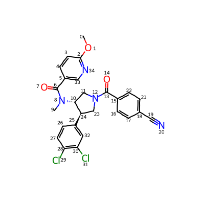 COc1ccc(C(=O)N(C)[C@@H]2CN(C(=O)c3ccc(C#N)cc3)C[C@H]2c2ccc(Cl)c(Cl)c2)cn1